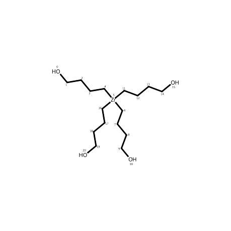 OCCC[CH2][Zr]([CH2]CCCO)([CH2]CCCO)[CH2]CCCO